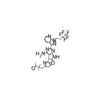 CC(=O)C(C)(C)Cc1csc([C@]2(C)C(=O)Nc3nc(-c4nn(CCC(F)(F)C(F)(F)F)c5ncccc45)nc(N)c32)n1